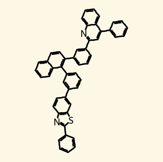 c1ccc(-c2nc3ccc(-c4cccc(-c5c(-c6cccc(-c7cc(-c8ccccc8)c8ccccc8n7)c6)ccc6ccccc56)c4)cc3s2)cc1